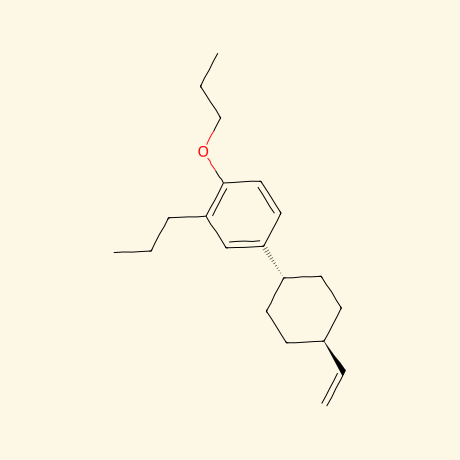 C=C[C@H]1CC[C@H](c2ccc(OCCC)c(CCC)c2)CC1